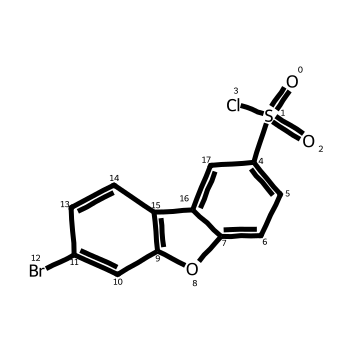 O=S(=O)(Cl)c1ccc2oc3cc(Br)ccc3c2c1